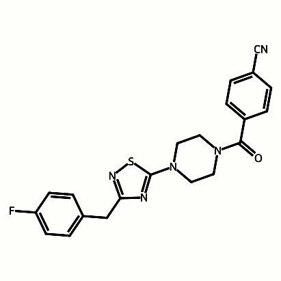 N#Cc1ccc(C(=O)N2CCN(c3nc(Cc4ccc(F)cc4)ns3)CC2)cc1